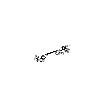 O=C(O)N(CCc1ccc(O)c2[nH]c(=O)sc12)CC(O)CCCCCCCN1CCC2(CC1)CN(C(=O)C(F)(F)F)CCO2